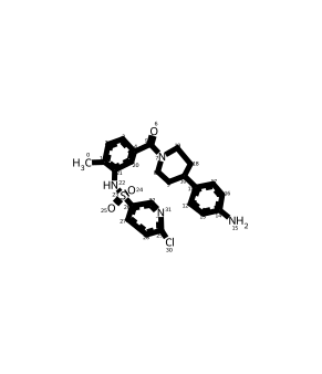 Cc1ccc(C(=O)N2CCC(c3ccc(N)cc3)CC2)cc1NS(=O)(=O)c1ccc(Cl)nc1